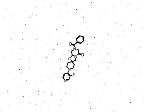 O=C(c1ccccc1)N1CC(=O)N2CC3(CCN(c4ccncc4F)CC3)OC2C1